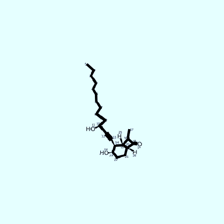 CCCCCCCCCC[C@H](O)C#C[C@H]1[C@@H]2C(C)C(=O)[C@@H]2CC[C@@H]1O